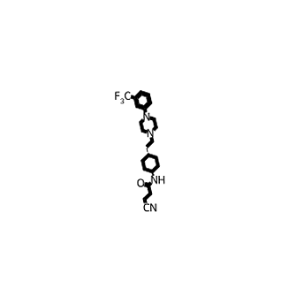 N#CCCC(=O)N[C@H]1CC[C@H](CCN2CCN(c3cccc(C(F)(F)F)c3)CC2)CC1